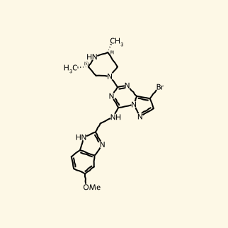 COc1ccc2[nH]c(CNc3nc(N4C[C@@H](C)N[C@@H](C)C4)nc4c(Br)cnn34)nc2c1